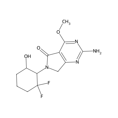 COc1nc(N)nc2c1C(=O)N(C1C(O)CCCC1(F)F)C2